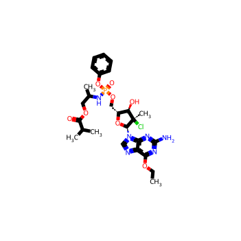 CCOc1nc(N)nc2c1ncn2[C@@H]1O[C@H](COP(=O)(NC(C)COC(=O)C(C)C)Oc2ccccc2)[C@@H](O)[C@@]1(C)Cl